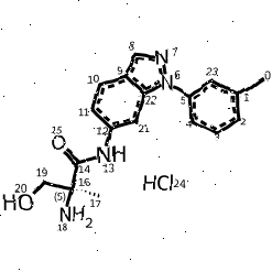 Cc1cccc(-n2ncc3ccc(NC(=O)[C@@](C)(N)CO)cc32)c1.Cl